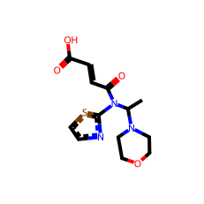 CC(N1CCOCC1)N(C(=O)/C=C/C(=O)O)c1nccs1